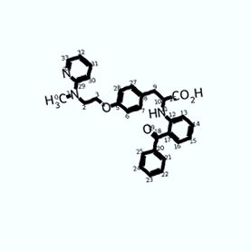 CN(CCOc1ccc(CC(Nc2ccccc2C(=O)c2ccccc2)C(=O)O)cc1)c1ccccn1